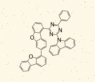 c1ccc(-c2nc(-c3cccc4oc5cc(-c6cccc7c6oc6ccccc67)ccc5c34)nc(-n3c4ccccc4c4ccccc43)n2)cc1